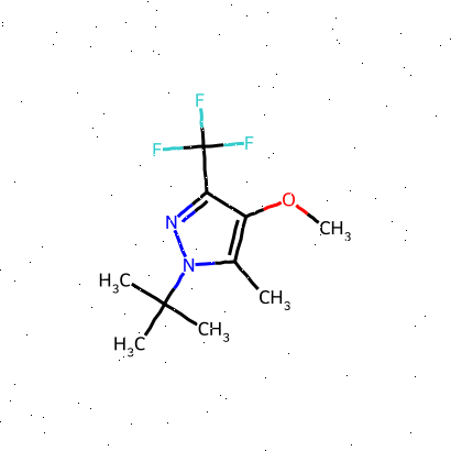 COc1c(C(F)(F)F)nn(C(C)(C)C)c1C